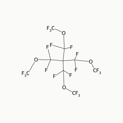 FC(F)(F)OC(F)(F)C(C(F)(F)OC(F)(F)F)(C(F)(F)OC(F)(F)F)C(F)(F)OC(F)(F)F